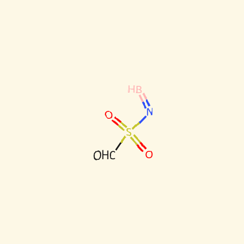 B=NS(=O)(=O)C=O